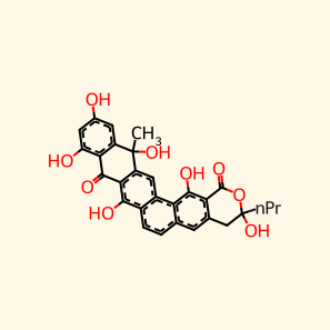 CCCC1(O)Cc2cc3ccc4c(O)c5c(cc4c3c(O)c2C(=O)O1)C(C)(O)c1cc(O)cc(O)c1C5=O